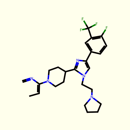 C=N/C(=C\C)N1CCC(c2nc(-c3ccc(F)c(C(F)(F)F)c3)cn2CCN2CCCC2)CC1